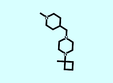 CN1CCC(CN2CCN(C3(C)CCC3)CC2)CC1